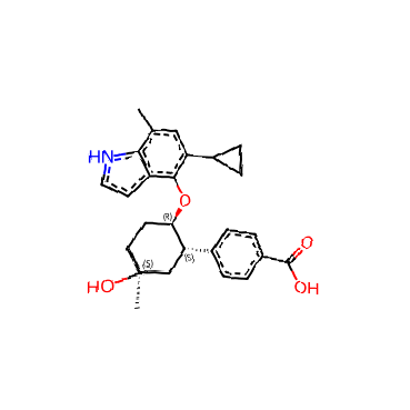 Cc1cc(C2CC2)c(O[C@@H]2CC[C@](C)(O)C[C@H]2c2ccc(C(=O)O)cc2)c2cc[nH]c12